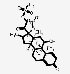 CC1C[C@H]2[C@@H]3CCC4=CC(=O)C=C[C@]4(C)[C@@]3(F)C(O)C[C@]2(C)[C@@]1(O[N+](=O)[O-])C(=O)COS(C)(=O)=O